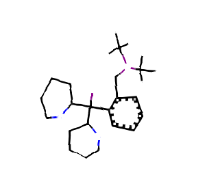 CC(C)(C)P(Cc1ccccc1C(P)(C1CCCCN1)C1CCCCN1)C(C)(C)C